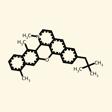 Cc1cccc2c(C)c3c(cc12)Oc1c2ccc(CC(C)(C)C)cc2cc2cc[n+](C)c-3c12